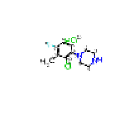 Cc1c(F)ccc(N2CCNCC2)c1Cl.Cl